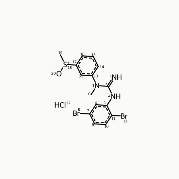 CN(C(=N)Nc1cc(Br)ccc1Br)c1cccc([S+](C)[O-])c1.Cl